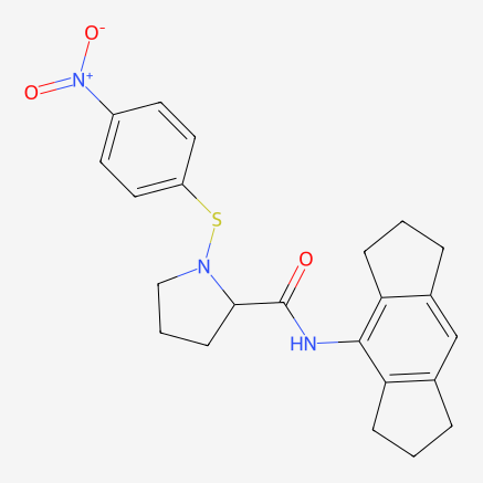 O=C(Nc1c2c(cc3c1CCC3)CCC2)C1CCCN1Sc1ccc([N+](=O)[O-])cc1